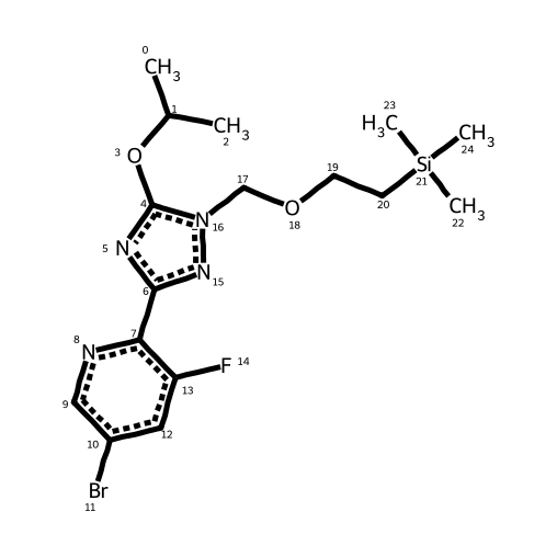 CC(C)Oc1nc(-c2ncc(Br)cc2F)nn1COCC[Si](C)(C)C